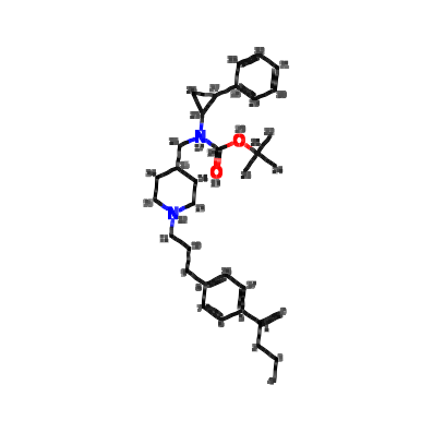 C=C(CCC)c1ccc(CCCN2CCC(CN(C(=O)OC(C)(C)C)C3CC3c3ccccc3)CC2)cc1